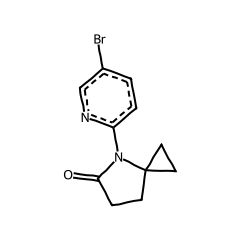 O=C1CCC2(CC2)N1c1ccc(Br)cn1